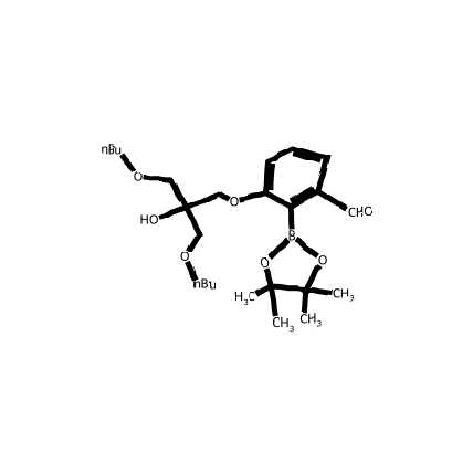 CCCCOCC(O)(COCCCC)COc1cccc(C=O)c1B1OC(C)(C)C(C)(C)O1